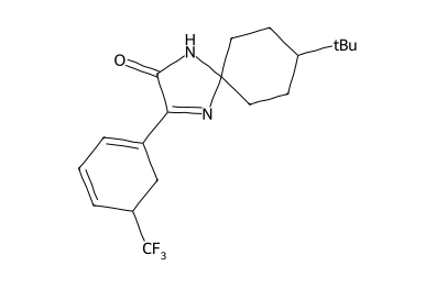 CC(C)(C)C1CCC2(CC1)N=C(C1=CC=CC(C(F)(F)F)C1)C(=O)N2